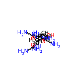 C[C@H](CCCO)[C@H]1CC[C@H]2C3C(NC(=O)[C@@H](N)CCCCN)CC4C[C@H](NC(=O)[C@@H](N)CCCCN)CC[C@]4(C)[C@H]3CC(NC(=O)[C@@H](N)CCCCN)[C@]12C